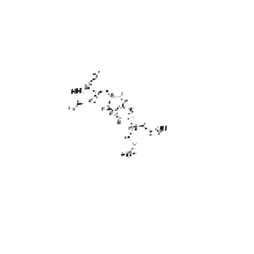 O=C1NC(=S)S/C1=C\C1Cc2sc(N(CCO)CCO)cc2S1